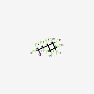 FC(F)(I)C(F)(F)C1(F)C(F)(F)C(F)(F)C1(F)F